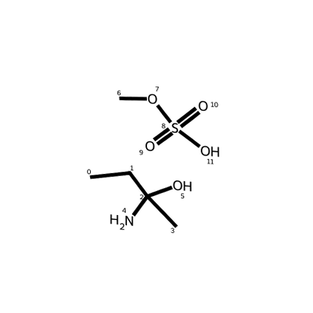 CCC(C)(N)O.COS(=O)(=O)O